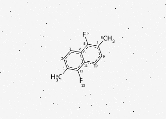 Cc1ccc2c(F)c(C)ccc2c1F